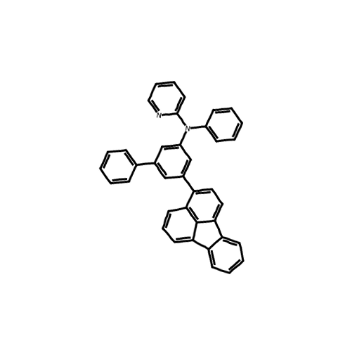 c1ccc(-c2cc(-c3ccc4c5c(cccc35)-c3ccccc3-4)cc(N(c3ccccc3)c3ccccn3)c2)cc1